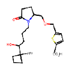 CCCC1(C(O)CCCN2C(=O)CCC2COCc2ccc(C(=O)O)s2)CCC1